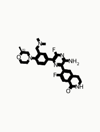 C[C@H]1CN(c2ccc(-c3nc(-c4cc5c(cc4F)C(=O)NCC5)c(N)nc3F)cc2CN(C)C)CCO1